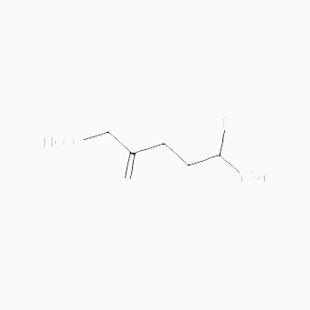 CCCCC(CC)CCC(=O)CC(=O)O